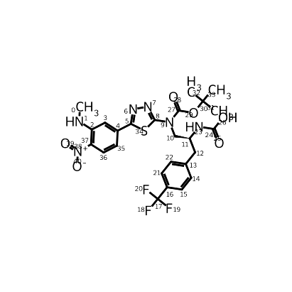 CNc1cc(-c2nnc(N(C[C@H](Cc3ccc(C(F)(F)F)cc3)NC(=O)O)C(=O)OC(C)(C)C)s2)ccc1[N+](=O)[O-]